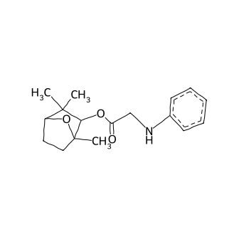 CC12CCC(O1)C(C)(C)C2OC(=O)CNc1ccccc1